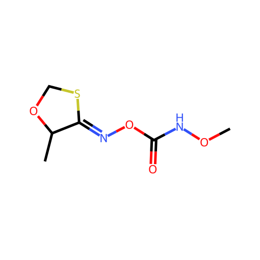 CONC(=O)ON=C1SCOC1C